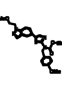 COCCn1ncc2cc(-c3cnc(N(Cc4ccc(OC)cc4)C(=O)OC(C)(C)C)s3)ccc21